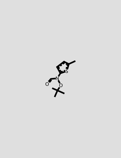 Cc1ccc(N(C=O)OC(C)(C)C)s1